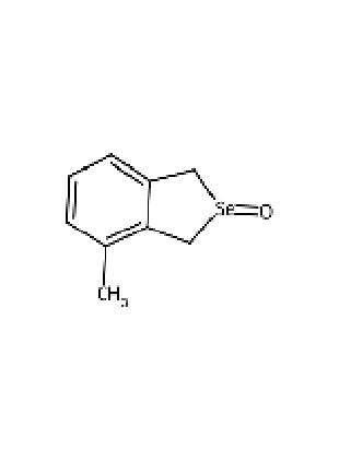 Cc1cccc2c1C[Se](=O)C2